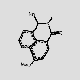 COc1ccc2c3c(cccc13)C(O)N(C)C2=O